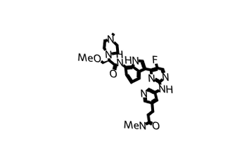 CNC(=O)CCc1cncc(Nc2ncc(F)c(-c3c[nH]c4c(NC(=O)[C@@H](COC)N5CCN(C)CC5)cccc34)n2)c1